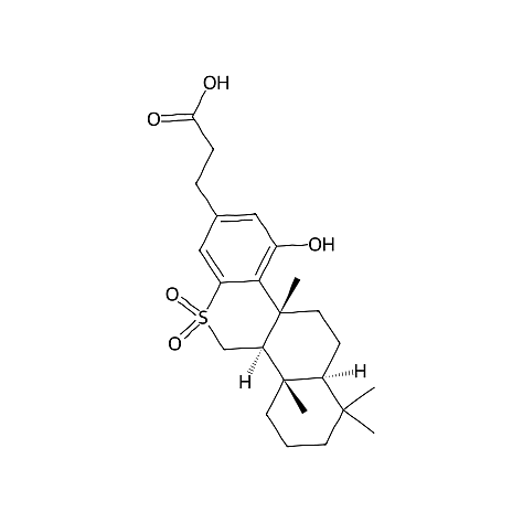 CC1(C)CCC[C@]2(C)[C@H]3CS(=O)(=O)c4cc(CCC(=O)O)cc(O)c4[C@]3(C)CC[C@@H]12